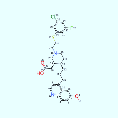 COc1ccc2nccc(CCC[C@@H]3CCN(CCSc4cc(F)cc(Cl)c4)C[C@@H]3CC(=O)O)c2c1